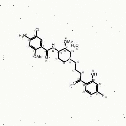 COc1cc(N)c(Cl)cc1C(=O)N[C@@H]1CCN(CCCC(=O)c2ccc(F)cc2O)C[C@@H]1OC.O